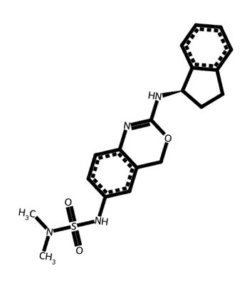 CN(C)S(=O)(=O)Nc1ccc2c(c1)COC(N[C@@H]1CCc3ccccc31)=N2